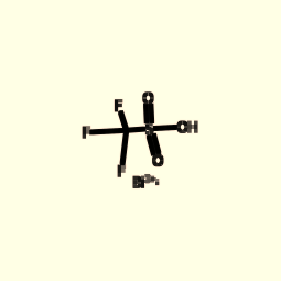 O=S(=O)(O)C(F)(F)F.[Bi+3]